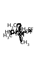 CCOCc1nn(CCOCC(F)(F)F)c2c(Nc3cccc(C)n3)nc(N3CCNC(C)C3)nc12